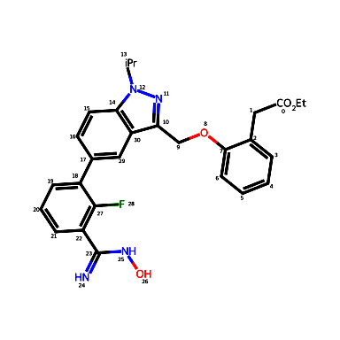 CCOC(=O)Cc1ccccc1OCc1nn(C(C)C)c2ccc(-c3cccc(C(=N)NO)c3F)cc12